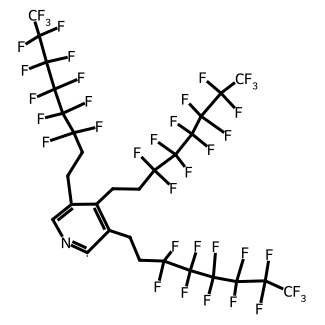 FC(F)(F)C(F)(F)C(F)(F)C(F)(F)C(F)(F)C(F)(F)CCc1[c]ncc(CCC(F)(F)C(F)(F)C(F)(F)C(F)(F)C(F)(F)C(F)(F)F)c1CCC(F)(F)C(F)(F)C(F)(F)C(F)(F)C(F)(F)C(F)(F)F